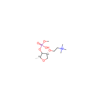 COP(=O)(O)OC1[C@@H](C)OC[C@H]1OCC[N+](C)(C)C